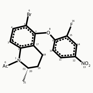 CC(=O)N1c2ccc(Br)c(Oc3ccc([N+](=O)[O-])cc3F)c2CC[C@@H]1C